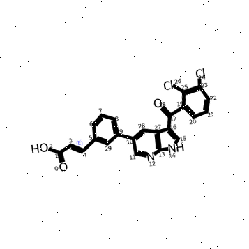 O=C(O)/C=C/c1cccc(-c2cnc3[nH]cc(C(=O)c4cccc(Cl)c4Cl)c3c2)c1